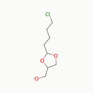 [O]CC1COC(CCCCCl)O1